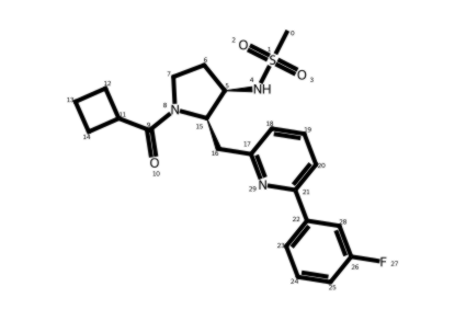 CS(=O)(=O)N[C@@H]1CCN(C(=O)C2CCC2)[C@@H]1Cc1cccc(-c2cccc(F)c2)n1